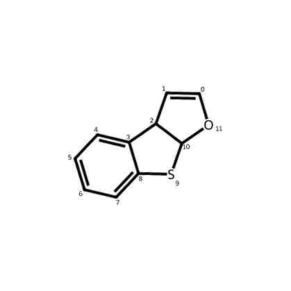 C1=CC2c3ccccc3SC2O1